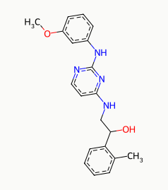 COc1cccc(Nc2nccc(NCC(O)c3ccccc3C)n2)c1